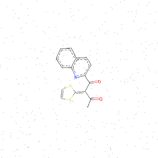 CC(=O)C(C(=O)c1ccc2ccccc2n1)=C1SC=CS1